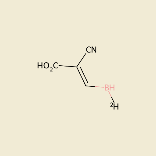 [2H]B/C=C(\C#N)C(=O)O